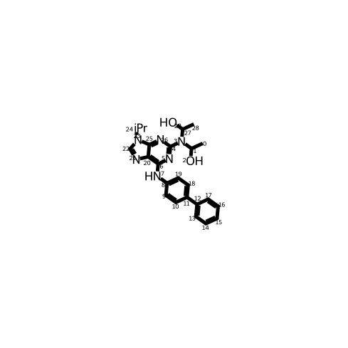 CC(O)N(c1nc(Nc2ccc(-c3ccccc3)cc2)c2ncn(C(C)C)c2n1)C(C)O